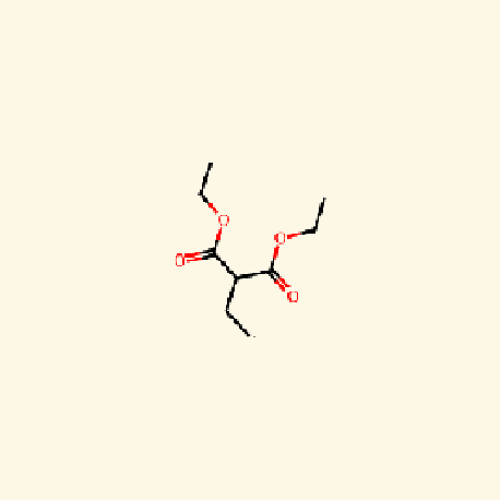 [CH2]CC(C(=O)OCC)C(=O)OCC